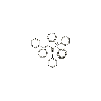 C(=[CH][Ni]([PH](c1ccccc1)(c1ccccc1)c1ccccc1)[PH](c1ccccc1)(c1ccccc1)c1ccccc1)c1ccccc1